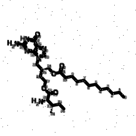 CCCCCCCCCCCC(=O)OC[C@H](CCOC(=O)[C@@H](N)[C@@H](C)CC)Cn1cnc2c(=O)[nH]c(N)nc21